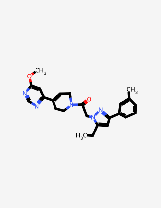 CCc1cc(-c2cccc(C)c2)nn1CC(=O)N1CC=C(c2cc(OC)ncn2)CC1